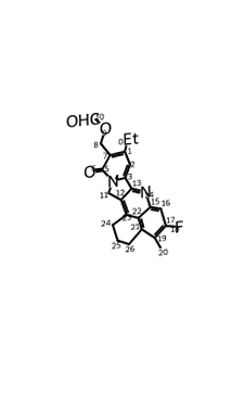 CCc1cc2n(c(=O)c1COC=O)Cc1c-2nc2cc(F)c(C)c3c2c1CCC3